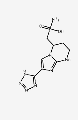 NP(=O)(O)CC1CCNc2nc(-c3nnn[nH]3)cn21